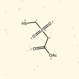 CC(=O)OC(=O)CS(=O)(=O)CS